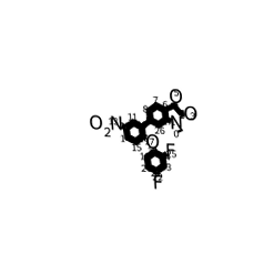 CN1C(=O)C(=O)c2ccc(-c3cc([N+](=O)[O-])ccc3Oc3ccc(F)cc3F)cc21